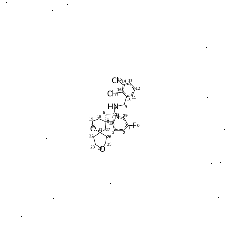 Fc1ccc([C@]2(CCNCc3cccc(Cl)c3Cl)CCOC3(CCOCC3)C2)nc1